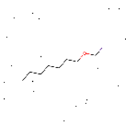 CCCCCCCOCI